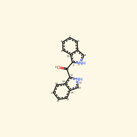 O=C(c1[nH]cc2ccccc12)c1[nH]cc2ccccc12